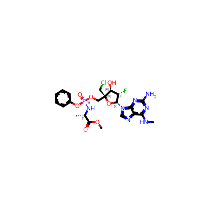 CNc1nc(N)nc2c1ncn2[C@@H]1O[C@](CCl)(CO[P@@](=O)(N[C@@H](C)C(=O)OC)Oc2ccccc2)[C@@H](O)[C@@H]1F